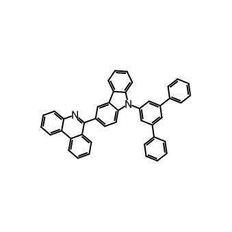 c1ccc(-c2cc(-c3ccccc3)cc(-n3c4ccccc4c4cc(-c5nc6ccccc6c6ccccc56)ccc43)c2)cc1